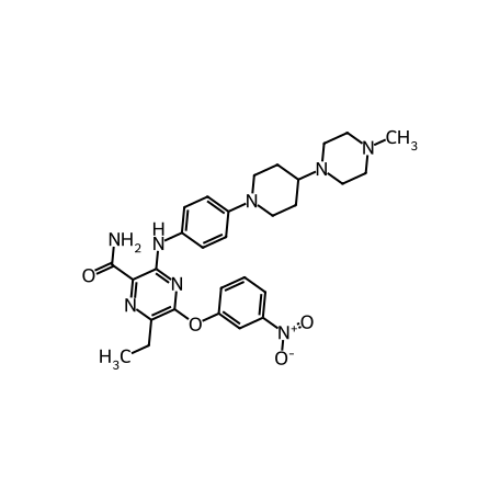 CCc1nc(C(N)=O)c(Nc2ccc(N3CCC(N4CCN(C)CC4)CC3)cc2)nc1Oc1cccc([N+](=O)[O-])c1